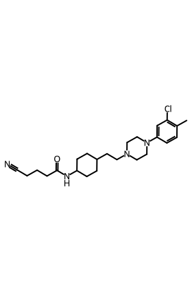 Cc1ccc(N2CCN(CCC3CCC(NC(=O)CCCC#N)CC3)CC2)cc1Cl